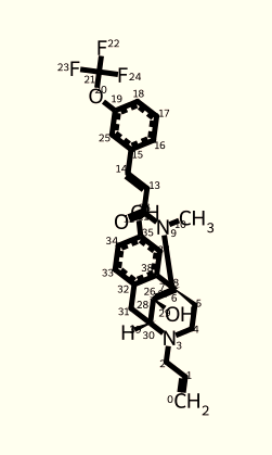 C=CCN1CC[C@]23CC(N(C)C(=O)/C=C/c4cccc(OC(F)(F)F)c4)CC[C@@]2(O)[C@H]1Cc1ccc(O)cc13